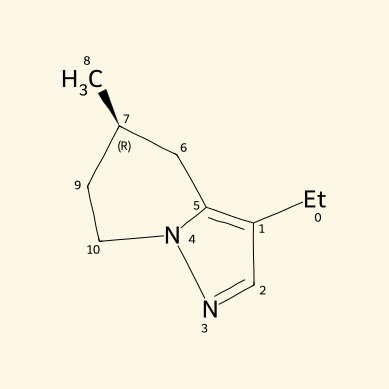 CCc1cnn2c1C[C@H](C)CC2